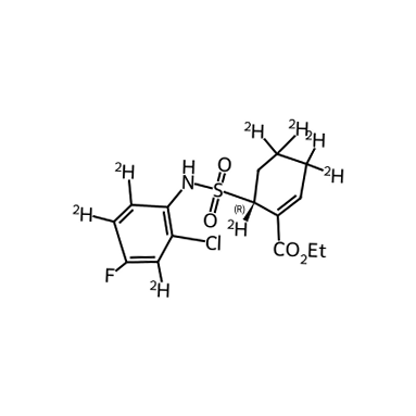 [2H]c1c([2H])c(NS(=O)(=O)[C@]2([2H])CC([2H])([2H])C([2H])([2H])C=C2C(=O)OCC)c(Cl)c([2H])c1F